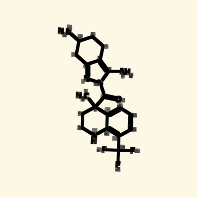 CC1(C(=O)n2nc3c(c2N)CCC(N)C3)CCNc2c(C(F)(F)F)cccc21